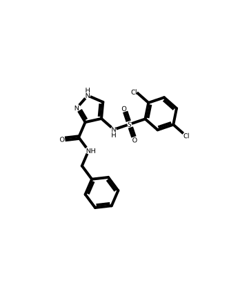 O=C(NCc1ccccc1)c1n[nH]cc1NS(=O)(=O)c1cc(Cl)ccc1Cl